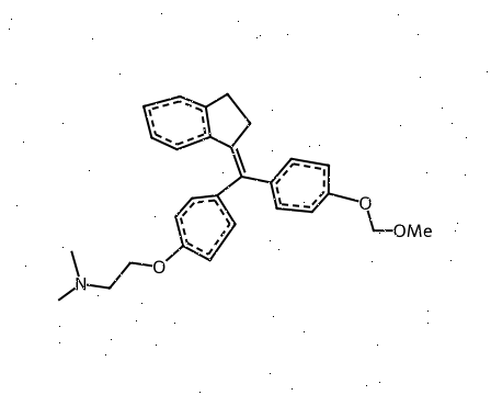 COCOc1ccc(C(=C2CCc3ccccc32)c2ccc(OCCN(C)C)cc2)cc1